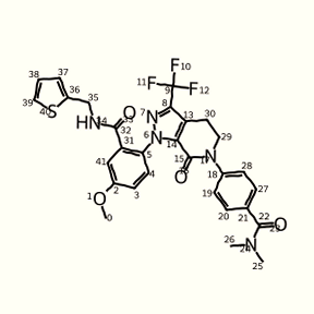 COc1ccc(-n2nc(C(F)(F)F)c3c2C(=O)N(c2ccc(C(=O)N(C)C)cc2)CC3)c(C(=O)NCc2cccs2)c1